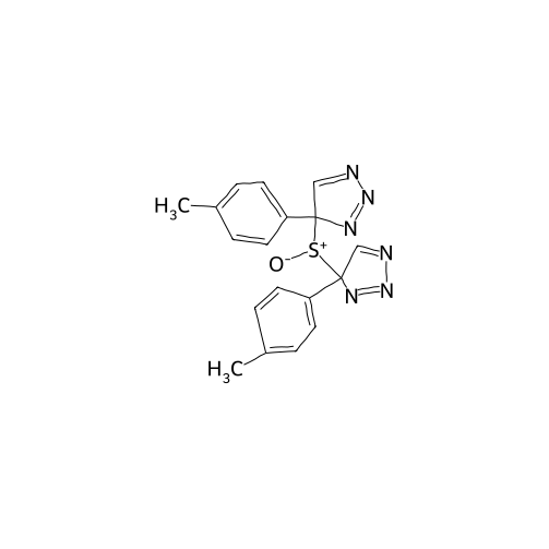 Cc1ccc(C2([S+]([O-])C3(c4ccc(C)cc4)C=NN=N3)C=NN=N2)cc1